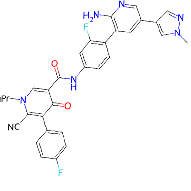 CC(C)n1cc(C(=O)Nc2ccc(-c3cc(-c4cnn(C)c4)cnc3N)c(F)c2)c(=O)c(-c2ccc(F)cc2)c1C#N